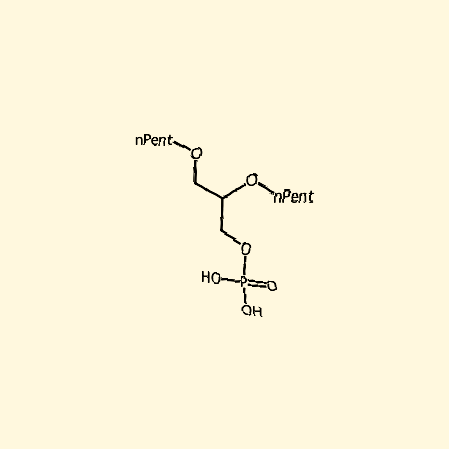 CCCCCOCC(COP(=O)(O)O)OCCCCC